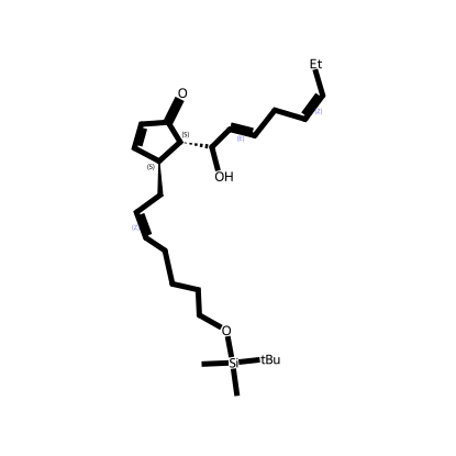 CC/C=C\C/C=C/C(O)[C@H]1C(=O)C=C[C@@H]1C/C=C\CCCCO[Si](C)(C)C(C)(C)C